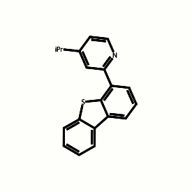 CC(C)c1ccnc(-c2cccc3c2sc2ccccc23)c1